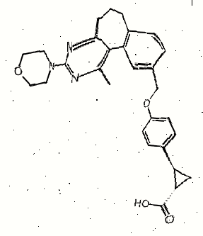 Cc1nc(N2CCOCC2)nc2c1-c1cc(COc3ccc([C@H]4C[C@@H]4C(=O)O)cc3)ccc1CCC2